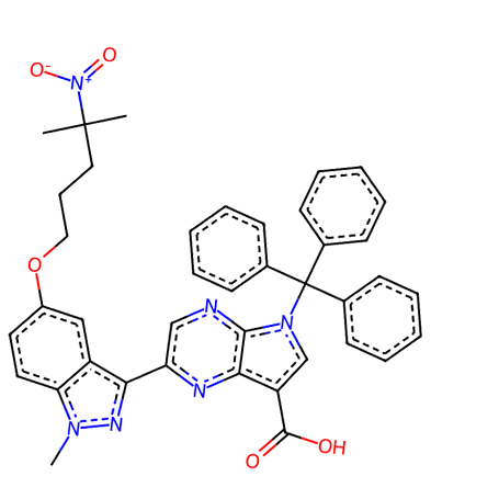 Cn1nc(-c2cnc3c(n2)c(C(=O)O)cn3C(c2ccccc2)(c2ccccc2)c2ccccc2)c2cc(OCCCC(C)(C)[N+](=O)[O-])ccc21